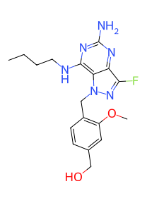 CCCCNc1nc(N)nc2c(F)nn(Cc3ccc(CO)cc3OC)c12